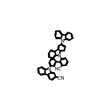 N#Cc1ccc2c3ccccc3n(-c3cccc(-c4c(C#N)cccc4-n4c5ccccc5c5cc(-n6c7ccccc7c7ccccc76)ccc54)c3)c2c1